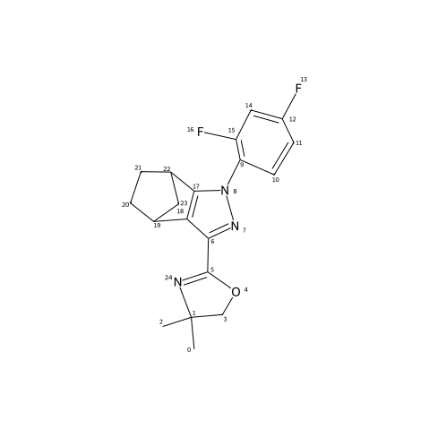 CC1(C)COC(c2nn(-c3ccc(F)cc3F)c3c2C2CCC3C2)=N1